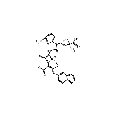 CC(C)(O/N=C(\C(=O)NC1C(=O)N2C(C(=O)[O-])=C(C[n+]3ccc4ccccc4c3)CS[C@H]12)c1cccc(N)n1)C(=O)O